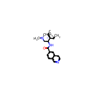 C=C/C(=C\C)C(CN(C)C)NC(=O)c1ccc2cnccc2c1